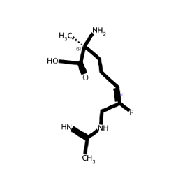 CC(=N)NC/C(F)=C\CC[C@](C)(N)C(=O)O